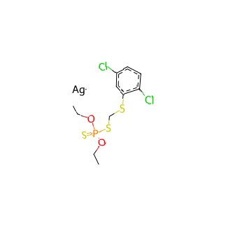 CCOP(=S)(OCC)SCSc1cc(Cl)ccc1Cl.[Ag]